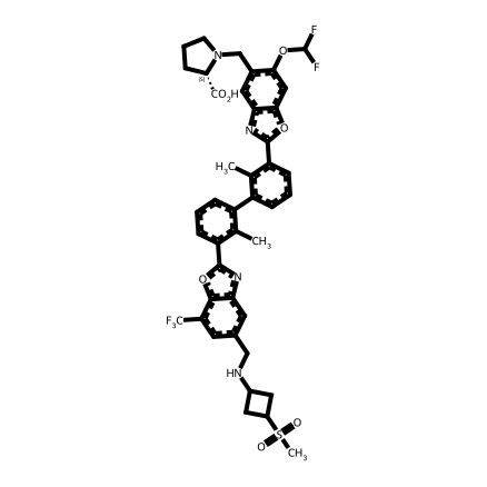 Cc1c(-c2nc3cc(CN4CCC[C@H]4C(=O)O)c(OC(F)F)cc3o2)cccc1-c1cccc(-c2nc3cc(CNC4CC(S(C)(=O)=O)C4)cc(C(F)(F)F)c3o2)c1C